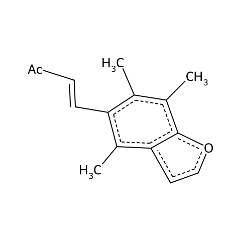 CC(=O)C=Cc1c(C)c(C)c2occc2c1C